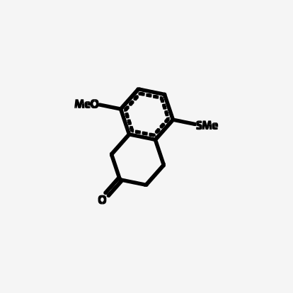 COc1ccc(SC)c2c1CC(=O)CC2